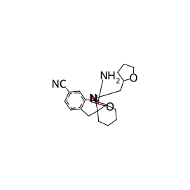 N#Cc1ccc2c(c1)C1(N=C(N)N(CC3CCCO3)C1=O)C1(CCCCC1)C2